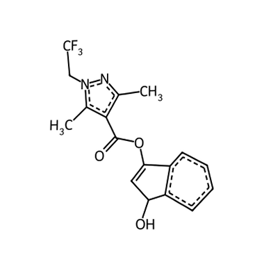 Cc1nn(CC(F)(F)F)c(C)c1C(=O)OC1=CC(O)c2ccccc21